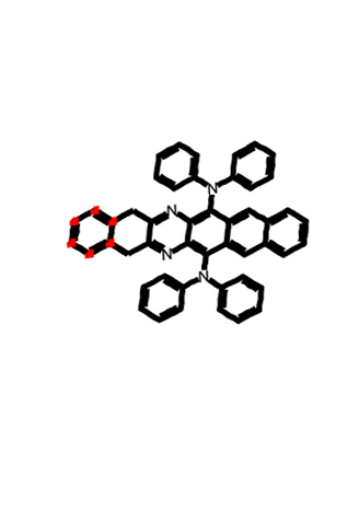 c1ccc(N(c2ccccc2)c2c3cc4ccccc4cc3c(N(c3ccccc3)c3ccccc3)c3nc4c(nc23)C2c3ccccc3C4c3ccccc32)cc1